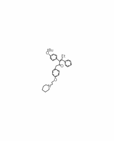 CCC(=C(C(=O)Cc1ccc(OCCN2CCCCC2)cc1)c1ccc(OC(C)(C)C)cc1)c1ccccc1